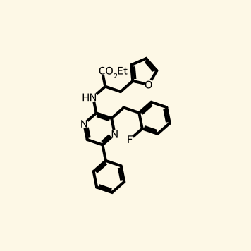 CCOC(=O)C(Cc1ccco1)Nc1ncc(-c2ccccc2)nc1Cc1ccccc1F